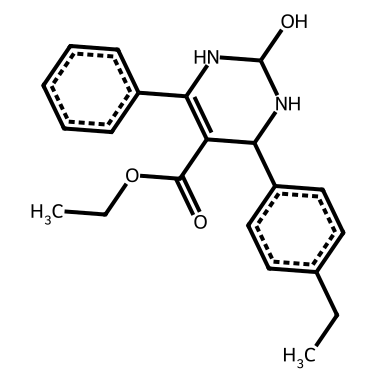 CCOC(=O)C1=C(c2ccccc2)NC(O)NC1c1ccc(CC)cc1